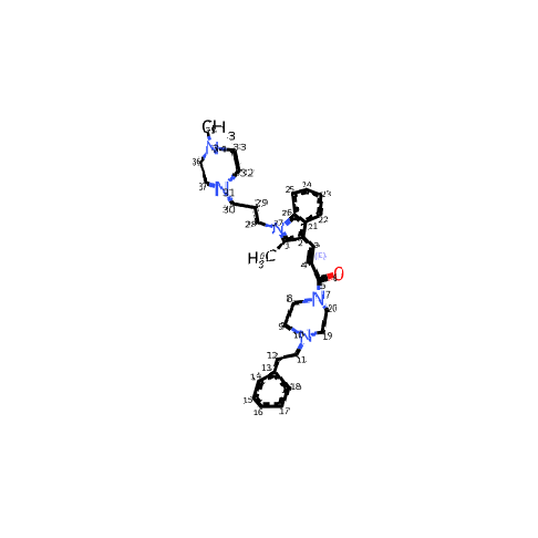 Cc1c(/C=C/C(=O)N2CCN(CCc3ccccc3)CC2)c2ccccc2n1CCCN1CCN(C)CC1